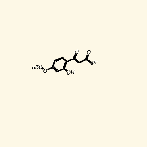 CCCCOc1ccc(C(=O)CC(=O)C(C)C)c(O)c1